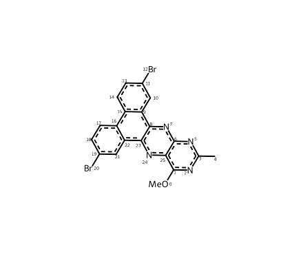 COc1nc(C)nc2nc3c4cc(Br)ccc4c4ccc(Br)cc4c3nc12